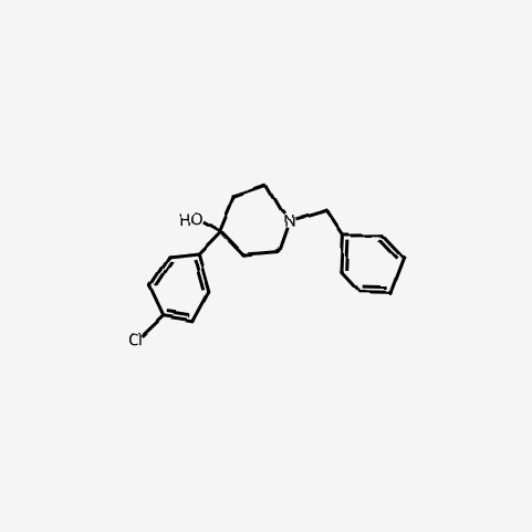 OC1(c2ccc(Cl)cc2)CCN(Cc2ccccc2)CC1